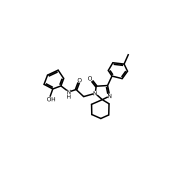 Cc1ccc(C2=NC3(CCCCC3)N(CC(=O)Nc3ccccc3O)C2=O)cc1